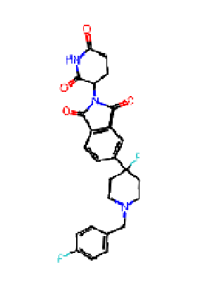 O=C1CCC(N2C(=O)c3ccc(C4(F)CCN(Cc5ccc(F)cc5)CC4)cc3C2=O)C(=O)N1